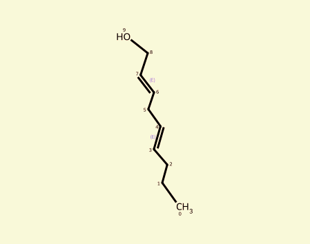 CCC/C=C/C/C=C/CO